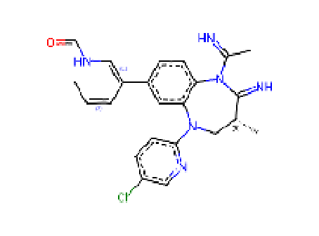 C/C=C\C(=C/NC=O)c1ccc2c(c1)N(c1ccc(Cl)cn1)C[C@@H](C)C(=N)N2C(C)=N